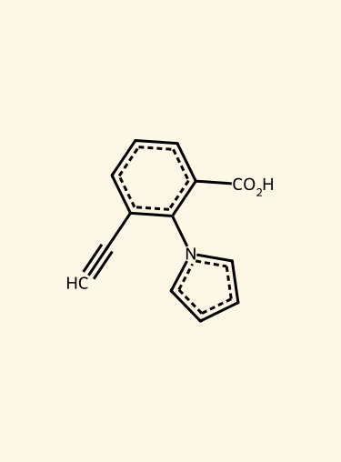 C#Cc1cccc(C(=O)O)c1-n1cccc1